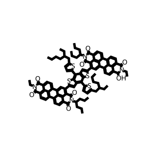 CCCCC(CC)Cc1ccc(-c2c3cc(-c4cc5c6ccc7c8c(ccc(c9ccc%10c(c4C(=O)N(C(CCC)CCC)C%10=O)c95)c86)C(=O)N(CC)C7O)sc3c(-c3ccc(CC(CC)CCCC)s3)c3cc(-c4cc5c6ccc7c8c(ccc(c9ccc%10c(c4C(=O)N(C(CCC)CCC)C%10=O)c95)c86)C(=O)N(CC)C7=O)sc23)s1